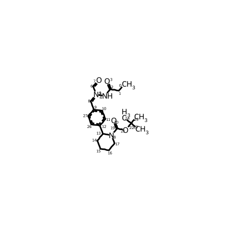 CCC(=O)N[N+](C=O)=Cc1ccc(C2CCCCN2C(=O)OC(C)(C)C)cc1